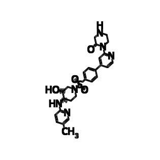 Cc1ccc(N[C@@H]2CCN(S(=O)(=O)c3ccc(-c4ccnc(N5CCNCC5=O)c4)cc3)C[C@@H]2O)nc1